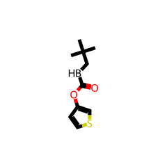 CC(C)(C)CBC(=O)Oc1ccsc1